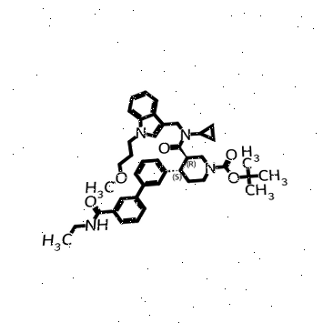 CCNC(=O)c1cccc(-c2cccc([C@H]3CCN(C(=O)OC(C)(C)C)C[C@@H]3C(=O)N(Cc3cn(CCCOC)c4ccccc34)C3CC3)c2)c1